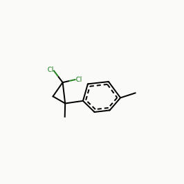 Cc1ccc(C2(C)CC2(Cl)Cl)cc1